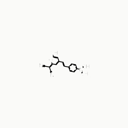 CC1=CC(C=Cc2ccc(N(C)C)cc2)=CC(=C(C#N)C#N)O1